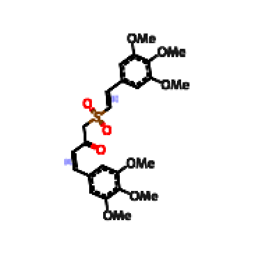 COc1cc(/C=C\C(=O)CS(=O)(=O)/C=C/c2cc(OC)c(OC)c(OC)c2)cc(OC)c1OC